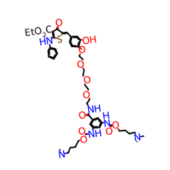 CCOC(=O)C1=C(Nc2ccccc2)S/C(=C\c2ccc(OCCOCCOCCOCCNC(=O)c3cc(NC(=O)OCCCCN(C)C)cc(NC(=O)OCCCCN(C)C)c3)c(O)c2)C1=O